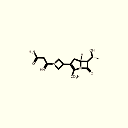 C[C@@H](O)[C@H]1C(=O)N2C(C(=O)O)=C(C3CN(C(=N)CC(N)=O)C3)C[C@H]12